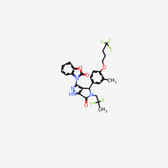 Cc1cc(C2c3c(-n4c(=O)oc5ccccc54)n[nH]c3C(=O)N2CC(C)(F)F)ccc1OCCCC(F)(F)F